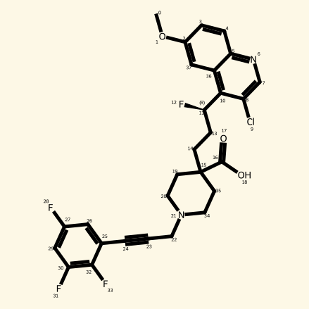 COc1ccc2ncc(Cl)c([C@H](F)CCC3(C(=O)O)CCN(CC#Cc4cc(F)cc(F)c4F)CC3)c2c1